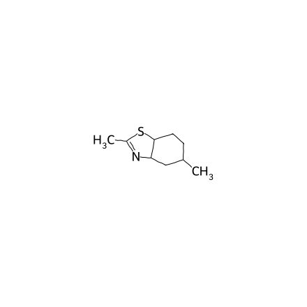 CC1=NC2CC(C)CCC2S1